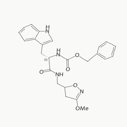 COC1=NOC(CNC(=O)[C@H](Cc2c[nH]c3ccccc23)NC(=O)OCc2ccccc2)C1